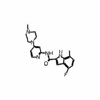 Cc1ccc(F)c2cc(C(=O)Nc3cc(N4CCN(C)CC4)ccn3)[nH]c12